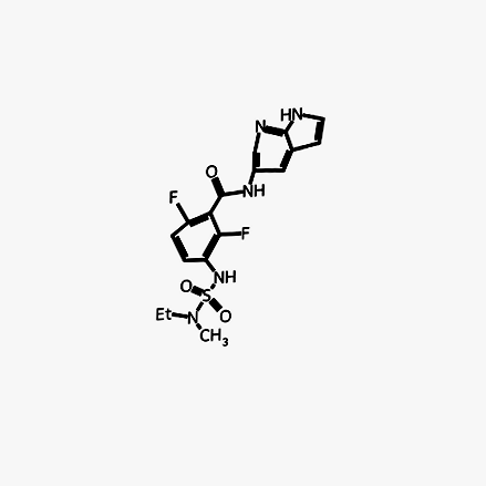 CCN(C)S(=O)(=O)Nc1ccc(F)c(C(=O)Nc2cnc3[nH]ccc3c2)c1F